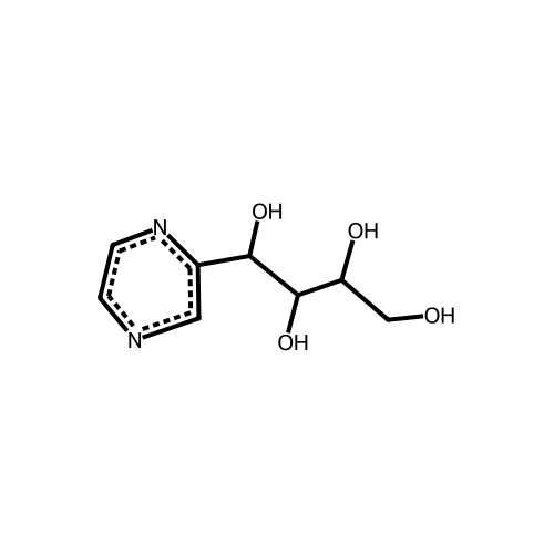 OCC(O)C(O)C(O)c1cnccn1